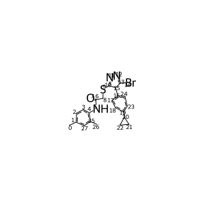 Cc1ccc(NC(=O)CSC2=NN=C(Br)C2c2ccc(C3CC3)cc2)c(C)c1